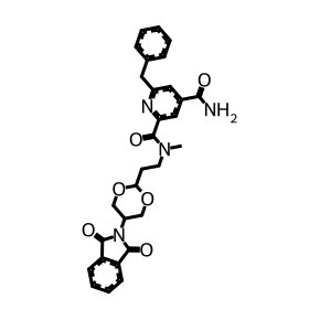 CN(CCC1OCC(N2C(=O)c3ccccc3C2=O)CO1)C(=O)c1cc(C(N)=O)cc(Cc2ccccc2)n1